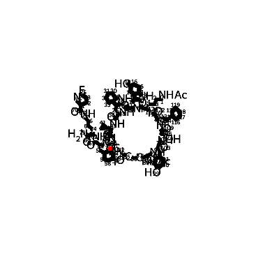 CC(=O)NCCCC[C@H]1C(=O)N[C@@H](Cc2c[nH]c3ccc(O)cc23)C(=O)N[C@@H](Cc2c[nH]c3ccccc23)C(=O)N[C@@H](C2CC2)C(=O)N(C)[C@H](C(=O)N(C)[C@@H](Cc2ccc(F)cc2)C(=O)N[C@@H](CCCCNC(=O)c2ccc(F)nc2)C(N)=O)CNC(=O)CCC[C@H](NC(C)=O)C(=O)N[C@@H](Cc2ccc(O)cc2)C(=O)N[C@@H](CO)C(=O)N(C)[C@@H](CCc2ccccc2)C(=O)N1C